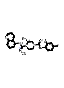 CC(C)[C@H]1CN(C(=O)Nc2ccc(F)cc2C(F)(F)F)CCN1/C(=N\C#N)Nc1cccc2ncccc12